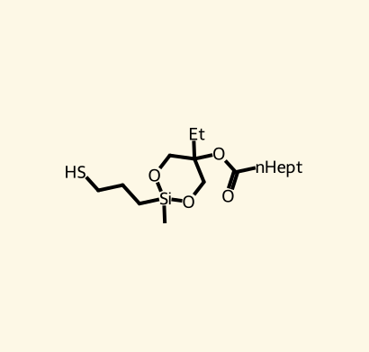 CCCCCCCC(=O)OC1(CC)CO[Si](C)(CCCS)OC1